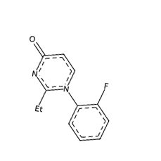 CCc1nc(=O)ccn1-c1ccccc1F